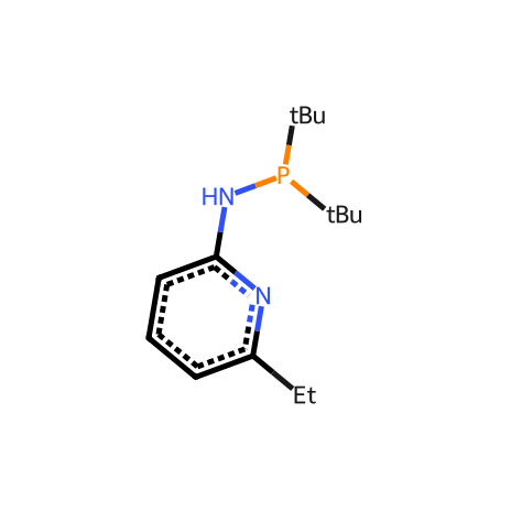 CCc1cccc(NP(C(C)(C)C)C(C)(C)C)n1